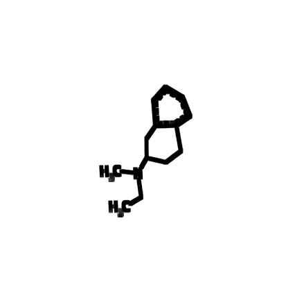 CCN(C)C1CCc2ccccc2C1